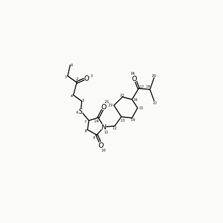 CCC(=O)CCSC1CC(=O)N(CC2CCC(C(=O)C(C)C)CC2)C1=O